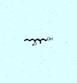 CCCCC(/C=C(\C)CCO)OC